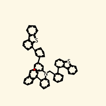 c1cc(-c2cccc(N(Cc3ccccc3-c3cccc4sc5ccccc5c34)c3ccccc3-c3cccc4ccccc34)c2)cc(-c2cccc3c2sc2ccccc23)c1